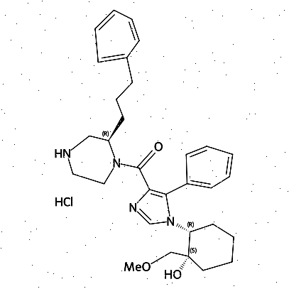 COC[C@]1(O)CCCC[C@H]1n1cnc(C(=O)N2CCNC[C@H]2CCCc2ccccc2)c1-c1ccccc1.Cl